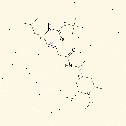 CCC1C[C@H](C(C)NC(=O)C/C=C/[C@H](CC(C)C)NC(=O)OC(C)(C)C)CC(C)N1OC